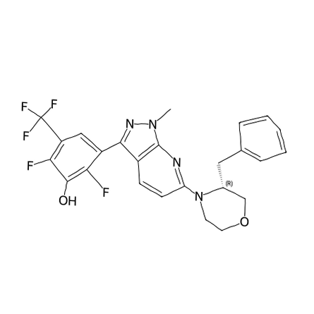 Cn1nc(-c2cc(C(F)(F)F)c(F)c(O)c2F)c2ccc(N3CCOC[C@H]3Cc3ccccc3)nc21